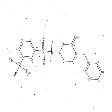 CC(C)(C1CCN(Cc2ccccc2)C(=O)C1)S(=O)(=O)c1cccc(C(F)(F)F)c1